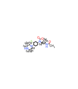 [2H]C1([2H])NC([2H])([2H])C([2H])([2H])N(c2ccc(N3C(=O)O[C@@]([2H])(C([2H])([2H])NC(C)=O)C3([2H])[2H])cc2F)C1([2H])[2H]